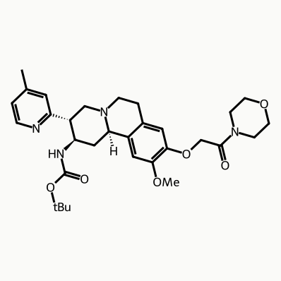 COc1cc2c(cc1OCC(=O)N1CCOCC1)CCN1C[C@@H](c3cc(C)ccn3)[C@H](NC(=O)OC(C)(C)C)C[C@H]21